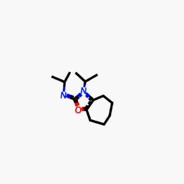 CC(C)/N=c1/oc2c(n1C(C)C)CCCCC2